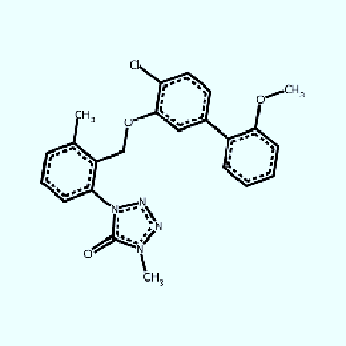 COc1ccccc1-c1ccc(Cl)c(OCc2c(C)cccc2-n2nnn(C)c2=O)c1